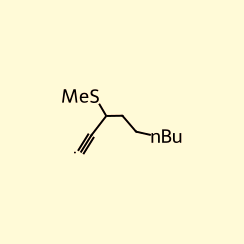 [C]#CC(CCCCCC)SC